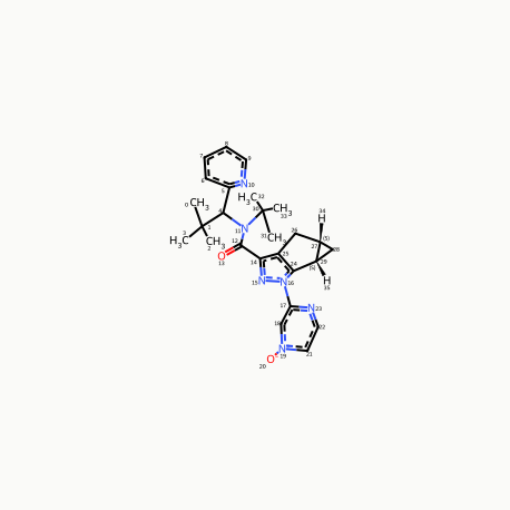 CC(C)(C)C(c1ccccn1)N(C(=O)c1nn(-c2c[n+]([O-])ccn2)c2c1C[C@@H]1C[C@H]21)C(C)(C)C